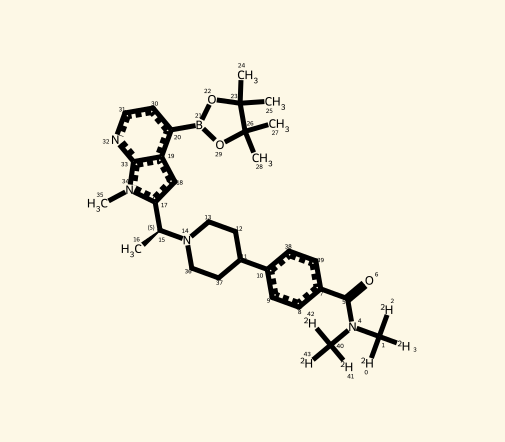 [2H]C([2H])([2H])N(C(=O)c1ccc(C2CCN([C@@H](C)c3cc4c(B5OC(C)(C)C(C)(C)O5)ccnc4n3C)CC2)cc1)C([2H])([2H])[2H]